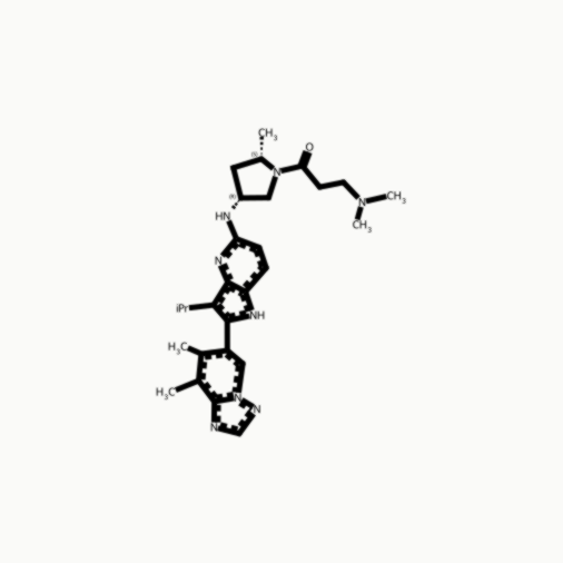 Cc1c(-c2[nH]c3ccc(N[C@@H]4C[C@H](C)N(C(=O)CCN(C)C)C4)nc3c2C(C)C)cn2ncnc2c1C